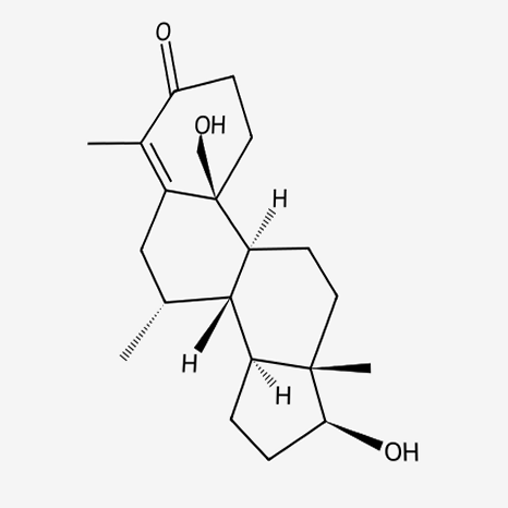 CC1=C2C[C@@H](C)[C@@H]3[C@H](CC[C@]4(C)[C@@H](O)CC[C@@H]34)[C@@]2(CO)CCC1=O